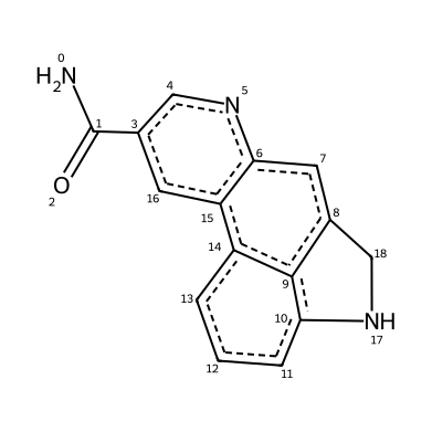 NC(=O)c1cnc2cc3c4c(cccc4c2c1)NC3